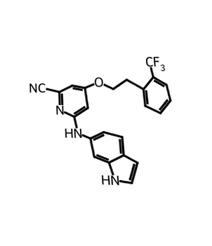 N#Cc1cc(OCCc2ccccc2C(F)(F)F)cc(Nc2ccc3cc[nH]c3c2)n1